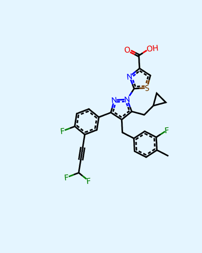 Cc1ccc(Cc2c(-c3ccc(F)c(C#CC(F)F)c3)nn(-c3nc(C(=O)O)cs3)c2CC2CC2)cc1F